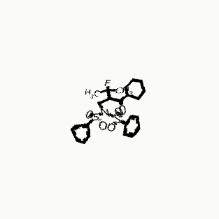 CC(C)(F)C(CN(S(=O)(=O)c1ccccc1)S(=O)(=O)c1ccccc1)C(=O)C1CCCCC1